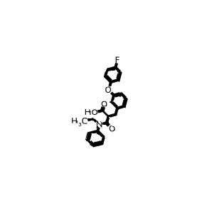 CCN(C(=O)C(Cc1cccc(Oc2ccc(F)cc2)c1)C(=O)O)c1ccccc1